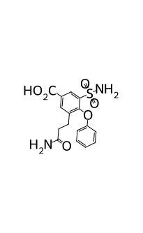 NC(=O)CCc1cc(C(=O)O)cc(S(N)(=O)=O)c1Oc1ccccc1